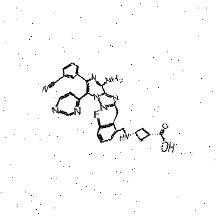 N#Cc1cccc(-c2nc(N)c3nc(Cc4c(F)cccc4CN[C@H]4C[C@@H](C(=O)O)C4)nn3c2-c2ccncn2)c1